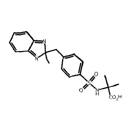 CC1(Cc2ccc(S(=O)(=O)NC(C)(C)C(=O)O)cc2)N=c2ccccc2=N1